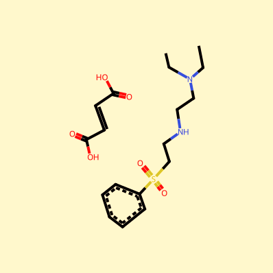 CCN(CC)CCNCCS(=O)(=O)c1ccccc1.O=C(O)C=CC(=O)O